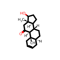 C[C@]12CC=CC[C@@H]1CC[C@@H]1[C@@H]2C(=O)C[C@]2(C)C(O)CC[C@@H]12